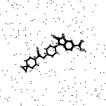 CC(=O)c1ccc2c(c1)[nH]c(=O)n2C1CCN(CC(=O)N2CCC3(CC2)CC3)CC1